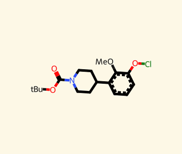 COc1c(OCl)cccc1C1CCN(C(=O)OC(C)(C)C)CC1